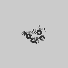 COC1(c2cc(F)c(-c3ccc4cnc(Nc5cnccc5[C@H]5C[C@@H](N)[C@](C)(O)[C@@H](C)C5)n4n3)c(F)c2)COC1